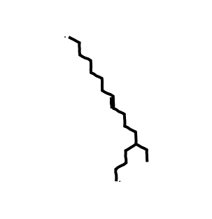 [CH2]CCCCCCC=CCCCC(CC)CCC[CH2]